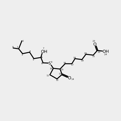 CC(C)CCCC(O)CSC1CCC(=O)C1CCCCCCC(=O)O